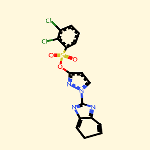 O=S(=O)(Oc1ccn(C2=NC3=CCC=CC3=N2)n1)c1cccc(Cl)c1Cl